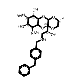 CN[C@@H]1[C@H](O)[C@H](NC)C2O[C@]3([C@@H](O)CNCc4ccc(Cc5ccccc5)cc4)OC[C@@H](C)OC3OC2[C@H]1O